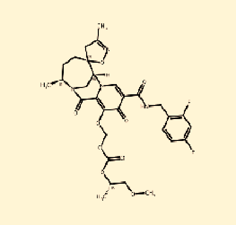 COC[C@H](C)OC(=O)OCOc1c2n(cc(C(=O)NCc3ccc(F)cc3F)c1=O)[C@@H]1CN(C2=O)[C@@H](C)CC[C@]12CC(C)=NO2